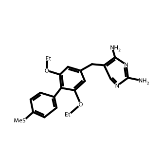 CCOc1cc(Cc2cnc(N)nc2N)cc(OCC)c1-c1ccc(SC)cc1